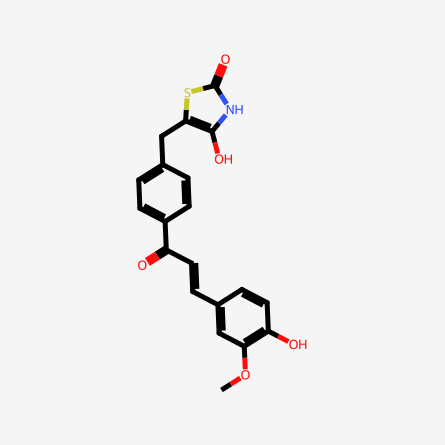 COc1cc(C=CC(=O)c2ccc(Cc3sc(=O)[nH]c3O)cc2)ccc1O